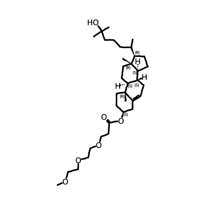 COCCOCCOCCC(=O)O[C@H]1CC[C@@]2(C)C(=CC[C@H]3[C@@H]4CC[C@H](C(C)CCCC(C)(C)O)[C@@]4(C)CC[C@@H]32)C1